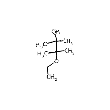 CCOC(C)(C)C(C)(C)O